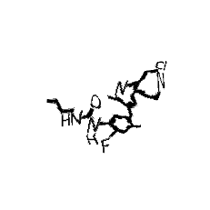 CCCCNC(=O)Nc1cc(-c2cc3cnc(Cl)cc3nc2C)c(C)cc1F